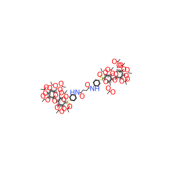 CC(=O)OC[C@H]1O[C@@H](Sc2ccc(NC(=O)CCC(=O)Nc3ccc(S[C@@H]4O[C@H](COC(C)=O)[C@@H](O[C@H]5O[C@H](COC(C)=O)[C@@H](OC(C)=O)[C@H](OC(C)=O)[C@H]5OC(C)=O)[C@H](OC(C)=O)[C@H]4OC(C)=O)cc3)cc2)[C@H](OC(C)=O)[C@@H](OC(C)=O)[C@@H]1O[C@H]1O[C@H](COC(C)=O)[C@@H](OC(C)=O)[C@H](OC(C)=O)[C@H]1OC(C)=O